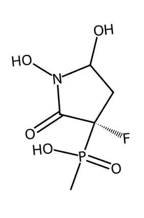 CP(=O)(O)[C@]1(F)CC(O)N(O)C1=O